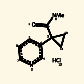 CNC(=O)C1(c2cccnc2)CC1.Cl